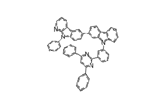 c1ccc(-c2cc(-c3ccccc3)nc(-c3cccc(-n4c5ccccc5c5ccc(-c6ccc7c(c6)c6cccnc6n7-c6ccccc6)cc54)c3)n2)cc1